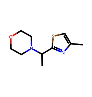 Cc1csc(C(C)N2CCOCC2)n1